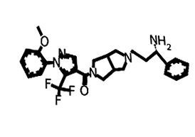 COc1ccccc1-n1ncc(C(=O)N2CC3CN(CC[C@H](N)c4ccccc4)CC3C2)c1C(F)(F)F